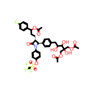 CC(=O)OCC(O)(COC(C)=O)C(O)C(O)Cc1ccc([C@@H]2[C@@H](CCC(OC(C)=O)c3ccc(F)cc3)C(=O)N2c2ccc(OS(=O)(=O)C(F)(F)F)cc2)cc1